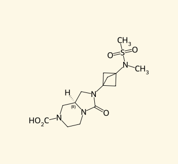 CN(C12CC(N3C[C@@H]4CN(C(=O)O)CCN4C3=O)(C1)C2)S(C)(=O)=O